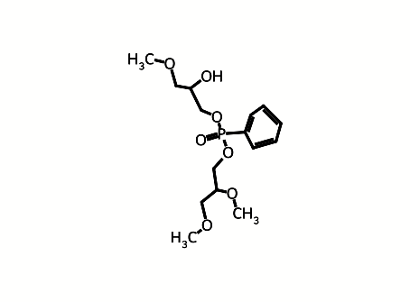 COCC(O)COP(=O)(OCC(COC)OC)c1ccccc1